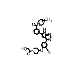 CN1CCN(C(=O)c2cccc(-c3cc4c(-c5ccc(OC6CCN(C(=O)CO)CC6)c(C#N)c5)ncnc4[nH]3)c2)CC1